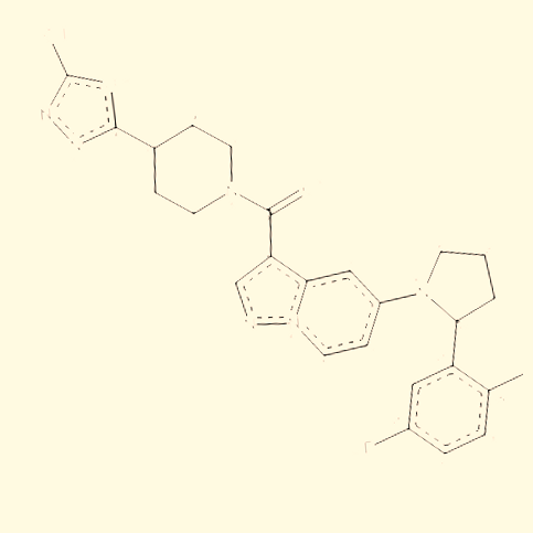 Cc1nnc(C2CCN(C(=O)c3cnn4ccc(N5CCCC5c5cc(F)ccc5F)cc34)CC2)o1